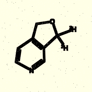 [2H]C1([2H])OCc2ccncc21